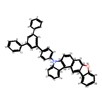 c1ccc(-c2cc(-c3ccccc3)cc(-c3ccc(-n4c5ccccc5c5c6cc7c(cc6ccc54)oc4ccccc47)cc3)c2)cc1